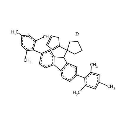 Cc1cc(C)c(-c2ccc3c(c2)C(C2(C4=CC=CC4)CCCC2)c2cc(-c4c(C)cc(C)cc4C)ccc2-3)c(C)c1.[Zr]